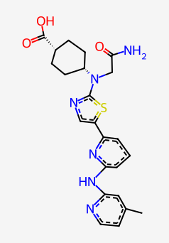 Cc1ccnc(Nc2cccc(-c3cnc(N(CC(N)=O)[C@H]4CC[C@@H](C(=O)O)CC4)s3)n2)c1